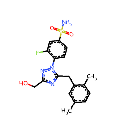 Cc1ccc(C)c(Cc2nc(CO)nn2-c2ccc(S(N)(=O)=O)cc2F)c1